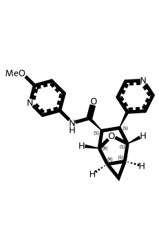 COc1ccc(NC(=O)[C@@H]2[C@@H]3O[C@@H]([C@H]4C[C@H]43)[C@@H]2c2ccncc2)cn1